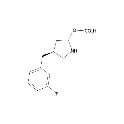 O=C(O)O[C@H]1C[C@H](Cc2cccc(F)c2)CN1